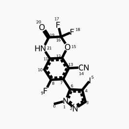 Cn1ncc(I)c1-c1c(F)cc2c(c1C#N)OC(F)(F)C(=O)N2